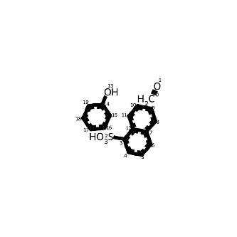 C=O.O=S(=O)(O)c1cccc2ccccc12.Oc1ccccc1